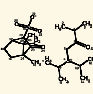 CC(C)C(=O)C[S+](C(C)C)C(C)C.CC12CCC(C(S(=O)(=O)[O-])C1=O)C2(C)C